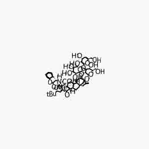 C=C1C[C@@]23CC[C@H]4[C@@](C)(CCC[C@@]4(C)C(=O)N(CCC(C)(C)C)C(CC(=O)O)C(=O)N[C@@H](Cc4ccccc4)C(=O)OC)[C@@H]2CC[C@]1(O[C@@H]1O[C@H](CO)[C@@H](O)[C@H](O[C@@H]2O[C@H](CO)C[C@H](O)[C@H]2O)[C@H]1O[C@@H]1OC[C@@H](O)[C@H](O)[C@H]1O)C3